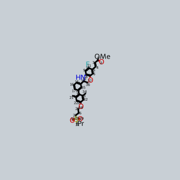 COC(=O)/C=C/c1cc2c(cc1F)NC(c1cccc(-c3c(C)cc(OCCCS(=O)(=O)C(C)C)cc3C)c1)CO2